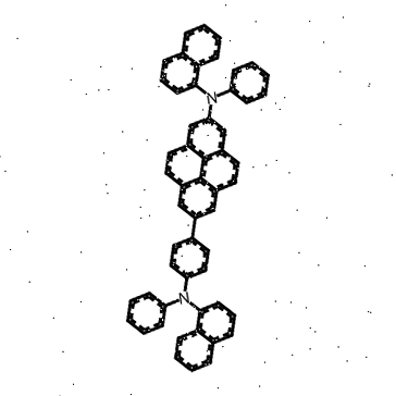 c1ccc(N(c2ccc(-c3cc4ccc5cc(N(c6ccccc6)c6cccc7ccccc67)cc6ccc(c3)c4c56)cc2)c2cccc3ccccc23)cc1